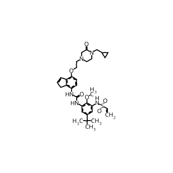 C=CS(=O)(=O)Nc1cc(C(C)(C)C)cc(NC(=O)Nc2ccc(OCCN3CCN(CC4CC4)C(=O)C3)c3c2CC=C3)c1OC